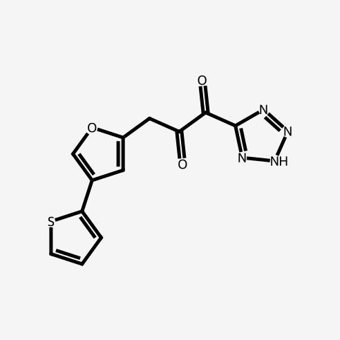 O=C(Cc1cc(-c2cccs2)co1)C(=O)c1nn[nH]n1